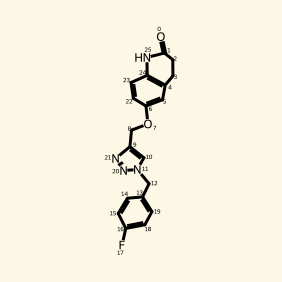 O=C1CCc2cc(OCc3cn(Cc4ccc(F)cc4)nn3)ccc2N1